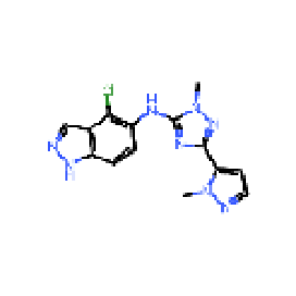 Cn1nccc1-c1nc(Nc2ccc3[nH]ncc3c2Cl)n(C)n1